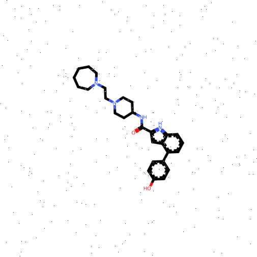 O=C(NC1CCN(CCN2CCCCCC2)CC1)c1cc2c(-c3ccc(O)cc3)cccc2[nH]1